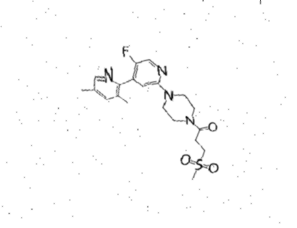 Cc1cnc(-c2cc(N3CCN(C(=O)CCS(C)(=O)=O)CC3)ncc2F)c(C)c1